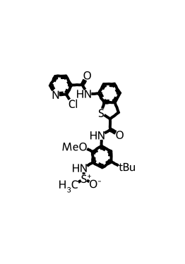 COc1c(NC(=O)C2Cc3cccc(NC(=O)c4cccnc4Cl)c3S2)cc(C(C)(C)C)cc1N[S+](C)[O-]